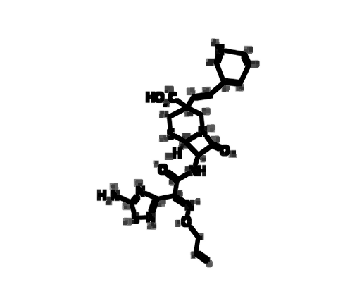 C=CCON=C(C(=O)NC1C(=O)N2CC(C=Cc3cccnc3)(C(=O)O)CS[C@H]12)c1nsc(N)n1